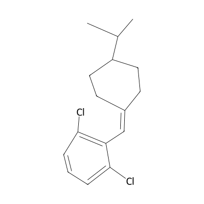 CC(C)C1CCC(=Cc2c(Cl)cccc2Cl)CC1